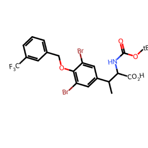 CC(c1cc(Br)c(OCc2cccc(C(F)(F)F)c2)c(Br)c1)C(NC(=O)OC(C)(C)C)C(=O)O